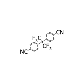 N#Cc1ccc(C(c2ccc(C#N)cc2)(C(F)(F)F)C(F)(F)F)cc1